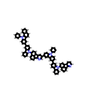 c1ccc(-n2c3ccc(-c4cnc5c(c4)-c4ccc(-n6c7ccccc7c7cc(-c8ccc9c(c8)c8ccc%10ccccc%10c8n9-c8ccccc8)ccc76)c6cccc-5c46)cc3c3cc(-c4ccc5c6ccccc6n(-c6ccc7c8c(cccc68)-c6ncccc6-7)c5c4)ccc32)cc1